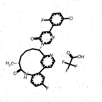 C[C@@H]1CCC[C@H](n2cnc(-c3cc(Cl)ccc3F)cc2=O)c2cc(ccn2)-c2cc(F)ccc2NC1=O.O=C(O)C(F)(F)F